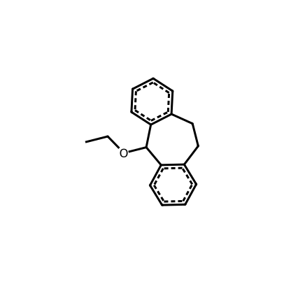 CCOC1c2ccccc2CCc2ccccc21